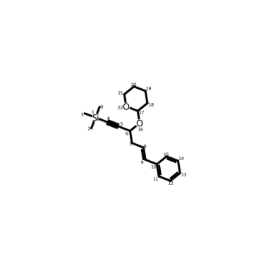 C[Si](C)(C)C#CC(C/C=C/c1ccccc1)OC1CCCCO1